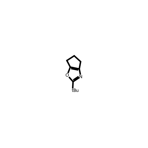 CC(C)(C)c1nc2c(o1)CCC2